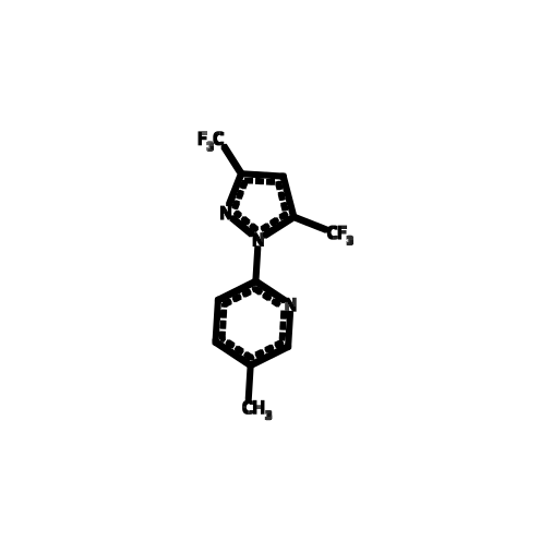 Cc1ccc(-n2nc(C(F)(F)F)cc2C(F)(F)F)nc1